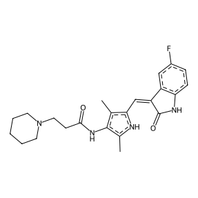 Cc1[nH]c(/C=C2\C(=O)Nc3ccc(F)cc32)c(C)c1NC(=O)CCN1CCCCC1